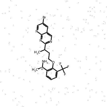 CC(CCOc1c([C@@H](C)N)cccc1C(F)(F)F)c1ncc2cc(Br)cnc2n1